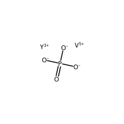 O=P([O-])([O-])[O-].[V+5].[Y+3]